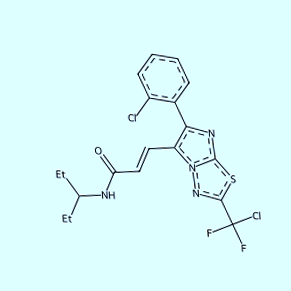 CCC(CC)NC(=O)/C=C/c1c(-c2ccccc2Cl)nc2sc(C(F)(F)Cl)nn12